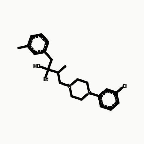 CCC(O)(Cc1cccc(C)c1)C(C)CN1CCN(c2cccc(Cl)c2)CC1